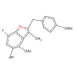 CCCc1cc(F)c2oc(Cc3ccc(OC)cc3)c(C)c2c1OC(C)=O